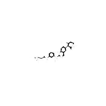 Cc1cc[nH]c(=O)c1-c1ccc2nc(Nc3cccc(NC(=O)CCN(C)C)c3)ncc2c1